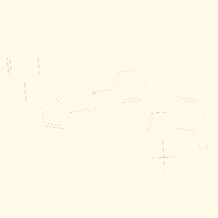 COc1ncc(-c2cc(C(F)(F)F)c3c(N)ncnn23)cc1C(=O)Nc1cc(Cl)n(Cc2ccccc2)n1